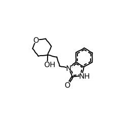 O=c1[nH]c2ccccc2n1CCC1(O)CCOCC1